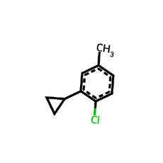 Cc1ccc(Cl)c(C2CC2)c1